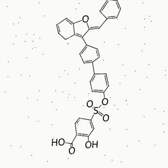 O=C(O)c1ccc(S(=O)(=O)Oc2ccc(-c3ccc(-c4c5c(oc4=Cc4ccccc4)=CC=CC5)cc3)cc2)cc1O